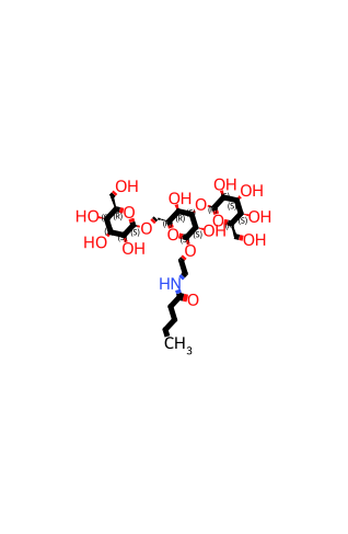 CCCCC(=O)NCCO[C@H]1O[C@H](CO[C@H]2O[C@H](CO)[C@@H](O)[C@H](O)[C@@H]2O)[C@@H](O)[C@H](O[C@H]2O[C@H](CO)[C@@H](O)[C@H](O)[C@@H]2O)[C@@H]1O